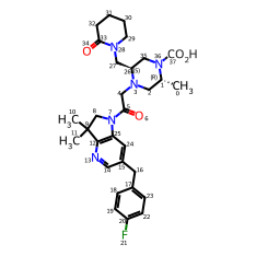 C[C@@H]1CN(CC(=O)N2CC(C)(C)c3ncc(Cc4ccc(F)cc4)cc32)[C@@H](CN2CCCCC2=O)CN1C(=O)O